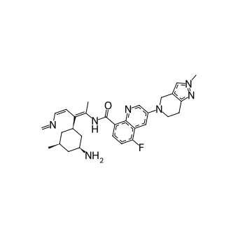 C=N/C=C\C(=C(/C)NC(=O)c1ccc(F)c2cc(N3CCc4nn(C)cc4C3)cnc12)[C@@H]1C[C@H](C)C[C@H](N)C1